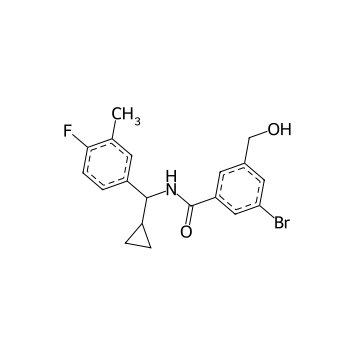 Cc1cc(C(NC(=O)c2cc(Br)cc(CO)c2)C2CC2)ccc1F